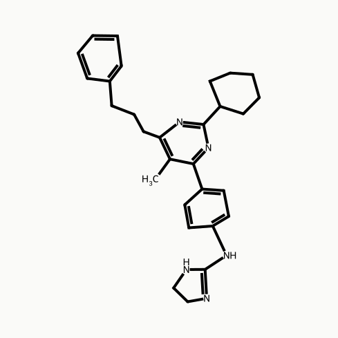 Cc1c(CCCc2ccccc2)nc(C2CCCCC2)nc1-c1ccc(NC2=NCCN2)cc1